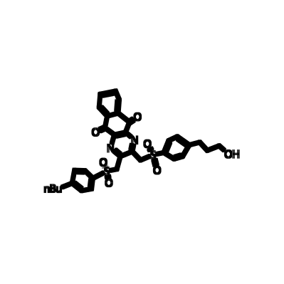 CCCCc1ccc(S(=O)(=O)Cc2nc3c(nc2CS(=O)(=O)c2ccc(CCCO)cc2)C(=O)c2ccccc2C3=O)cc1